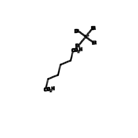 CC[N+](CC)(CC)CC.O=C(O)CCCCC(=O)O